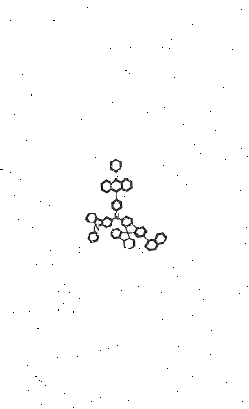 c1ccc(-c2c3ccccc3c(-c3ccc(N(c4ccc5c(c4)C4(c6ccccc6-c6ccccc64)c4cc(-c6cccc7ccccc67)ccc4-5)c4ccc5c(c4)c4ccccc4n5-c4ccccc4)cc3)c3ccccc23)cc1